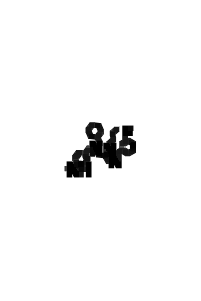 CCCCn1c(CN(Cc2ccc(NC)cc2)CC2CCCCC2)cnc1-c1cccc(F)c1